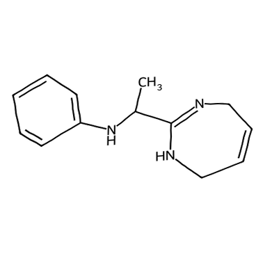 CC(Nc1ccccc1)C1=NCC=CCN1